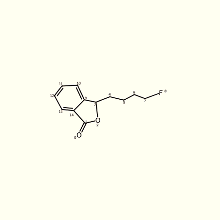 O=C1OC(CCCCF)c2ccccc21